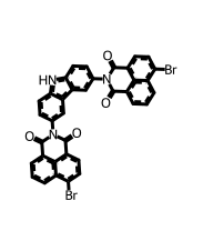 O=C1c2cccc3c(Br)ccc(c23)C(=O)N1c1ccc2[nH]c3ccc(N4C(=O)c5cccc6c(Br)ccc(c56)C4=O)cc3c2c1